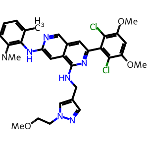 CNc1cccc(C)c1Nc1cc2c(NCc3cnn(CCOC)c3)nc(-c3c(Cl)c(OC)cc(OC)c3Cl)cc2cn1